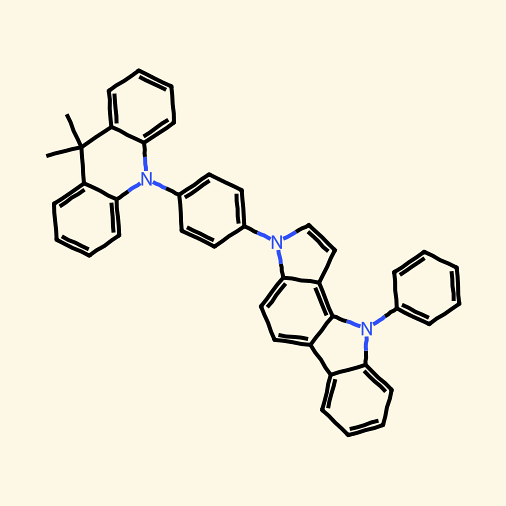 CC1(C)c2ccccc2N(c2ccc(-n3ccc4c3ccc3c5ccccc5n(-c5ccccc5)c34)cc2)c2ccccc21